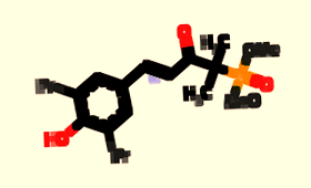 COP(=O)(OC)C(C)(C)C(=O)/C=C/c1cc(C(C)C)c(O)c(C(C)C)c1